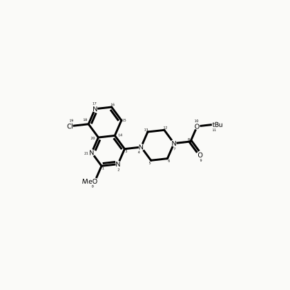 COc1nc(N2CCN(C(=O)OC(C)(C)C)CC2)c2ccnc(Cl)c2n1